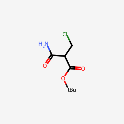 CC(C)(C)OC(=O)C(CCl)C(N)=O